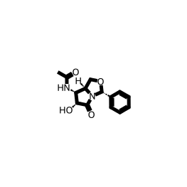 CC(=O)N[C@@H]1[C@H]2CO[C@H](c3ccccc3)N2C(=O)[C@@H]1O